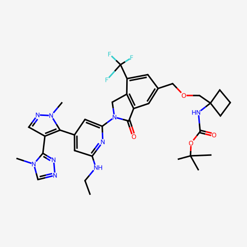 CCNc1cc(-c2c(-c3nncn3C)cnn2C)cc(N2Cc3c(cc(COCC4(NC(=O)OC(C)(C)C)CCC4)cc3C(F)(F)F)C2=O)n1